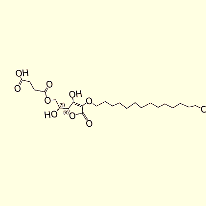 CCCCCCCCCCCCCCCOC1=C(O)[C@@H]([C@@H](O)COC(=O)CCC(=O)O)OC1=O